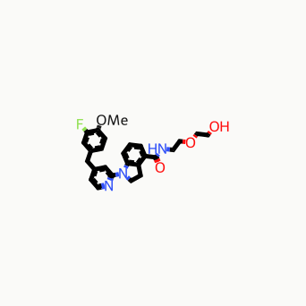 COc1ccc(Cc2ccnc(N3CCc4c(C(=O)NCCOCCO)cccc43)c2)cc1F